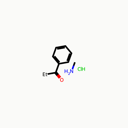 CCC(=O)c1ccccc1.CN.Cl